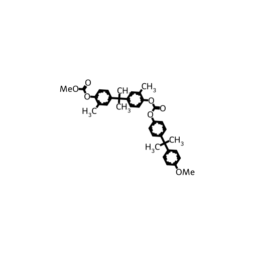 COC(=O)Oc1ccc(C(C)(C)c2ccc(OC(=O)Oc3ccc(C(C)(C)c4ccc(OC)cc4)cc3)c(C)c2)cc1C